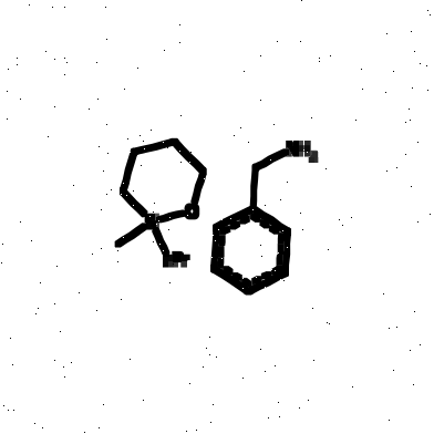 CCC[Si]1(C)CCCCO1.NCc1ccccc1